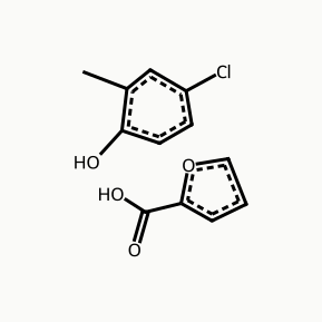 Cc1cc(Cl)ccc1O.O=C(O)c1ccco1